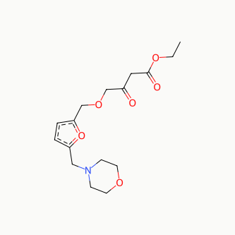 CCOC(=O)CC(=O)COCc1ccc(CN2CCOCC2)o1